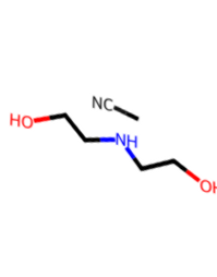 CC#N.OCCNCCO